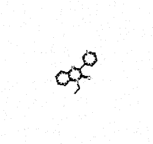 CCn1c(=O)c(-c2cccnc2)nc2ccccc21